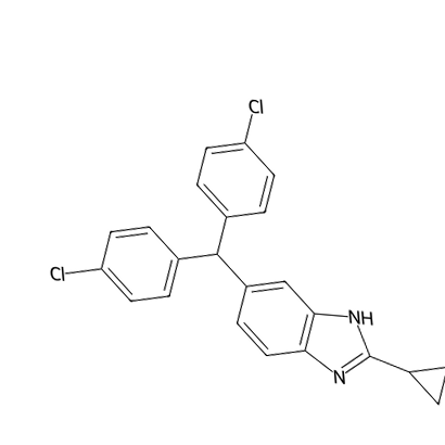 Clc1ccc(C(c2ccc(Cl)cc2)c2ccc3nc(C4CC4)[nH]c3c2)cc1